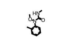 CNC(=O)N(OC)c1ccccc1C